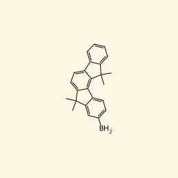 Bc1ccc2c(c1)C(C)(C)c1ccc3c(c1-2)C(C)(C)c1ccccc1-3